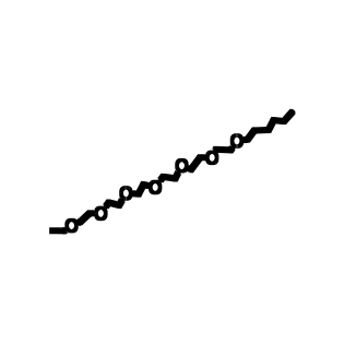 CCCCCCOCCOCCOCCOCCOCCOCCOCC